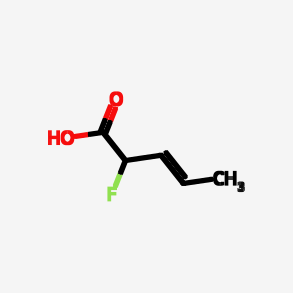 CC=CC(F)C(=O)O